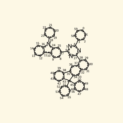 c1ccc(-c2nc(-c3ccc4c5ccccc5n(-c5ccccc5)c4c3)nc(-c3cccc4cc5c(cc34)-c3ccccc3C5(c3ccccc3)c3ccccc3)n2)cc1